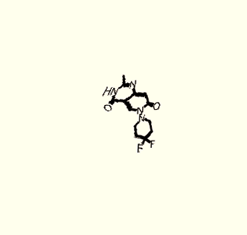 Cc1nc2cc(=O)n(N3CCC(F)(F)CC3)cc2c(=O)[nH]1